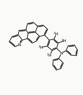 [2H]c1c([2H])c(N(c2ccccc2)c2ccccc2)c([2H])c([2H])c1-c1ccc2ccc3cc4cccnc4c4ccc1c2c34